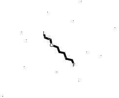 FCCCCCOCCI